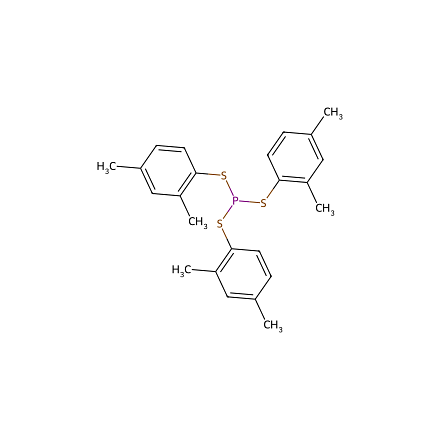 Cc1ccc(SP(Sc2ccc(C)cc2C)Sc2ccc(C)cc2C)c(C)c1